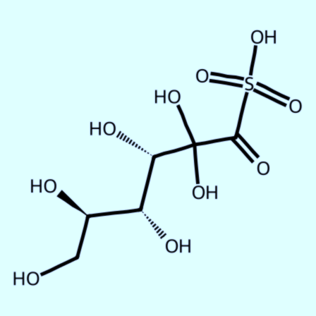 O=C(C(O)(O)[C@@H](O)[C@H](O)[C@H](O)CO)S(=O)(=O)O